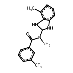 Cc1cccc2c1NC(N(N)C(=O)c1cccc(C(F)(F)F)c1)N2